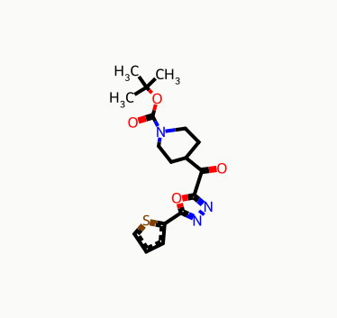 CC(C)(C)OC(=O)N1CCC(C(=O)c2nnc(-c3cccs3)o2)CC1